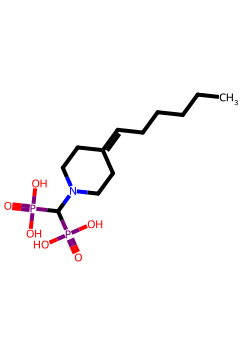 CCCCCC=C1CCN(C(P(=O)(O)O)P(=O)(O)O)CC1